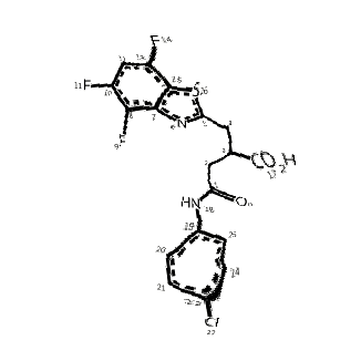 O=C(CC(Cc1nc2c(F)c(F)cc(F)c2s1)C(=O)O)Nc1ccc(Cl)cc1